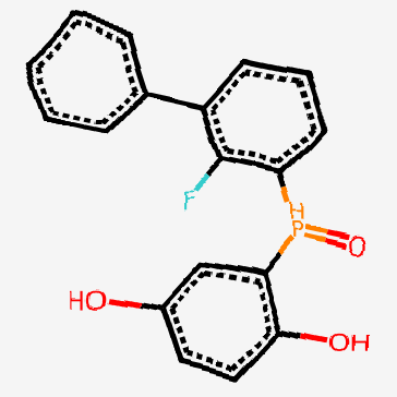 O=[PH](c1cc(O)ccc1O)c1cccc(-c2ccccc2)c1F